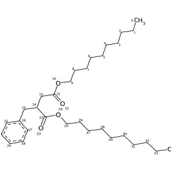 CCCCCCCCCCOC(=O)CC(Cc1ccccc1)C(=O)OCCCCCCCCCC